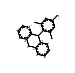 Cc1cc(C)c(C2c3bcccc3Cc3ccccc32)c(C)c1